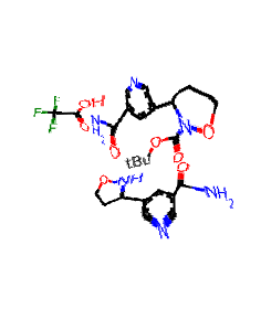 CC(C)(C)OC(=O)N1OCCC1c1cncc(C(N)=O)c1.NC(=O)c1cncc(C2CCON2)c1.O=C(O)C(F)(F)F